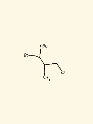 CCCCC(CC)C(C)C[O]